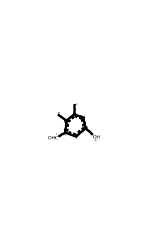 Cc1cc(O)cc(C=O)c1C